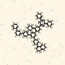 c1ccc(-c2cccc(-c3ccc(-c4cc(-c5ccc(-c6cccc7ccccc67)cc5)cc(-c5ccc(-c6nc(-c7ccccc7)nc(-c7ccccc7)n6)cc5-c5ccccc5)c4)cc3)c2)cc1